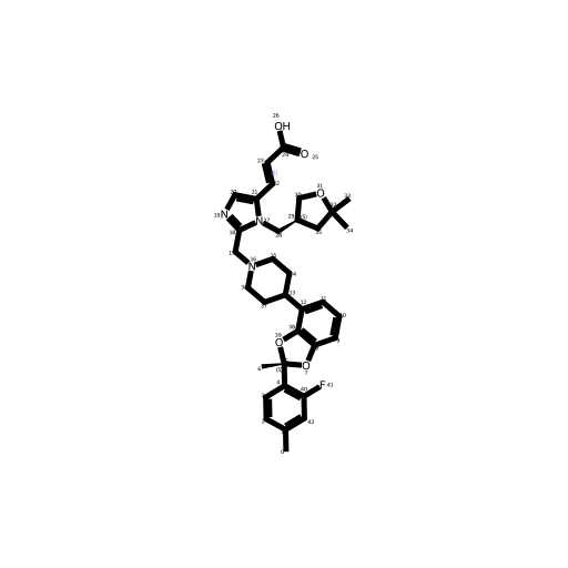 Cc1ccc([C@@]2(C)Oc3cccc(C4CCN(Cc5ncc(/C=C/C(=O)O)n5C[C@H]5COC(C)(C)C5)CC4)c3O2)c(F)c1